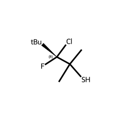 CC(C)(C)[C@@](F)(Cl)C(C)(C)S